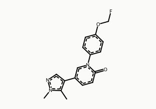 Cc1c(-c2ccc(=O)n(-c3ccc(OCF)cc3)c2)cnn1C